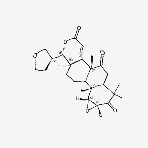 CC1(C)C(=O)[C@@H]2O[C@@H]2[C@@]2(C)C1CC(=O)[C@@]1(C)C3=CC(=O)O[C@@H]([C@H]4CCOC4)[C@]3(C)CCC12